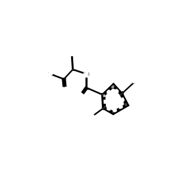 CC(NC(=O)c1cc(I)ccc1S)C(N)=O